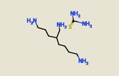 NC(N)=S.NCCCCC(CN)CCCN